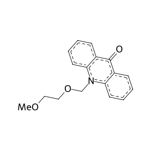 COCCOCn1c2ccccc2c(=O)c2ccccc21